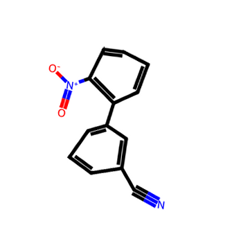 N#Cc1cccc(-c2ccc[c]c2[N+](=O)[O-])c1